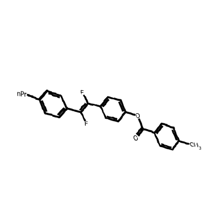 CCCc1ccc(/C(F)=C(\F)c2ccc(OC(=O)c3ccc(C)cc3)cc2)cc1